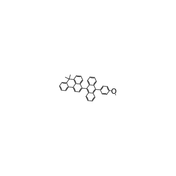 COc1ccc(-c2c3ccccc3c(-c3ccc4c5c(cccc35)C(C)(C)c3ccccc3-4)c3ccccc23)cc1